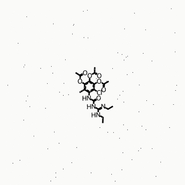 CCN=C(NCC)NC(=O)Nc1c(C)c(OC(C)=O)c(OC(C)=O)c(OC(C)=O)c1Cl